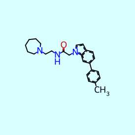 Cc1ccc(-c2ccc3ccn(CC(=O)NCCN4CCCCCC4)c3c2)cc1